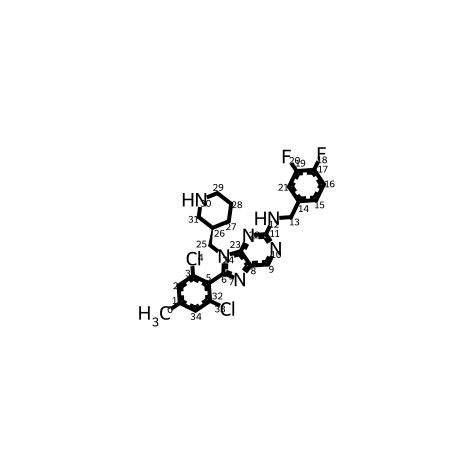 Cc1cc(Cl)c(-c2nc3cnc(NCc4ccc(F)c(F)c4)nc3n2C[C@@H]2CCCNC2)c(Cl)c1